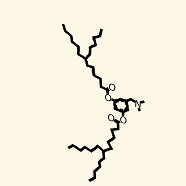 CCCCCCC(CCCCCC)CCCCCC(=O)Oc1cc(CN(C)C)cc(OC(=O)CCCCCC(CCCCCC)CCCCCC)c1